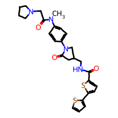 CN(C(=O)CN1CCCC1)c1ccc(N2CC(CNC(=O)c3ccc(-c4cccs4)s3)CC2=O)cc1